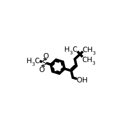 CC(C)(C)C/C=C(/CO)c1ccc(S(C)(=O)=O)cc1